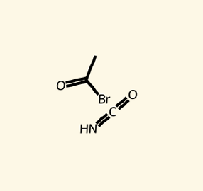 CC(=O)Br.N=C=O